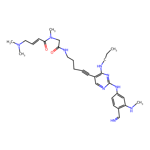 CCCNc1nc(Nc2ccc(C=N)c(NC)c2)ncc1C#CCCCNC(=O)CN(C)C(=O)/C=C/CN(C)C